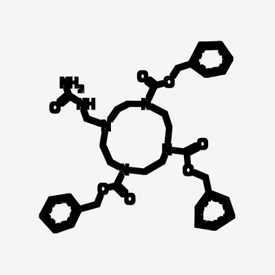 NC(=O)NCN1CCN(C(=O)OCc2ccccc2)CCN(C(=O)OCc2ccccc2)CCN(C(=O)OCc2ccccc2)CC1